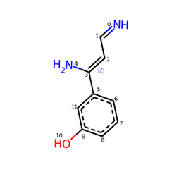 N=C/C=C(\N)c1cccc(O)c1